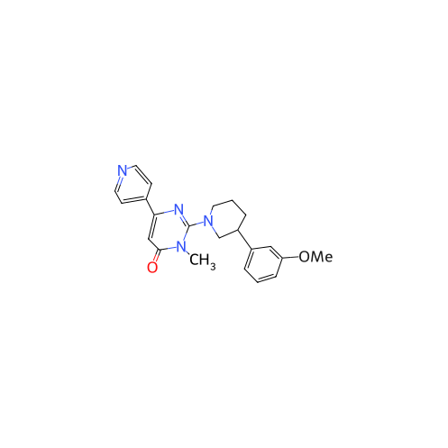 COc1cccc(C2CCCN(c3nc(-c4ccncc4)cc(=O)n3C)C2)c1